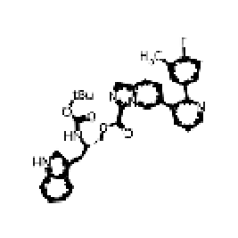 Cc1cc(-c2ncccc2-c2ccc3cnc(C(=O)OC[C@H](Cc4c[nH]c5ccccc45)NC(=O)OC(C)(C)C)n3c2)ccc1F